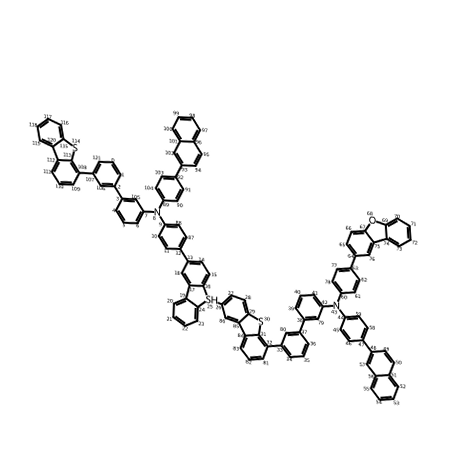 c1cc(-c2cccc(N(c3ccc(-c4ccc5c(c4)-c4ccccc4[SH]5c4ccc5sc6c(-c7cccc(-c8cccc(N(c9ccc(-c%10ccc%11ccccc%11c%10)cc9)c9ccc(-c%10ccc%11oc%12ccccc%12c%11c%10)cc9)c8)c7)cccc6c5c4)cc3)c3ccc(-c4ccc5ccccc5c4)cc3)c2)cc(-c2cccc3c2sc2ccccc23)c1